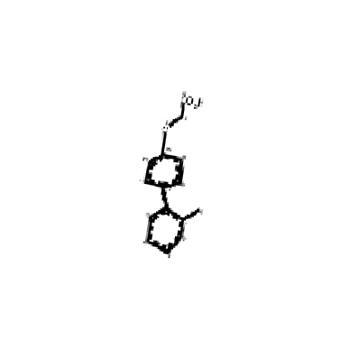 Cc1ccccc1-c1ccc(OCC(=O)O)cc1